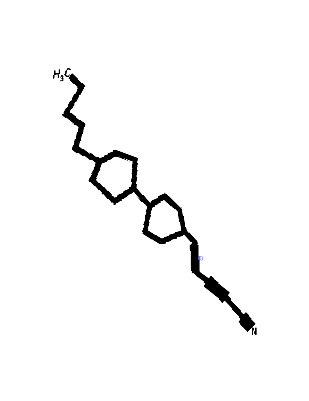 CCCCCC1CCC(C2CCC(/C=C/C#CC#N)CC2)CC1